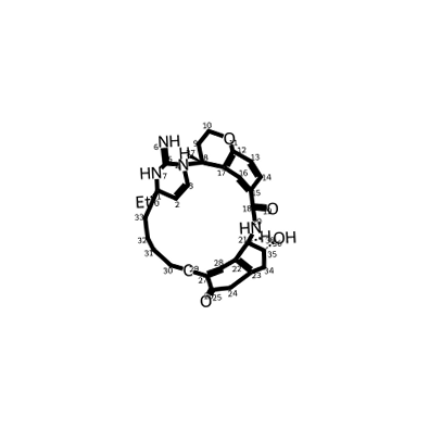 CC[C@@]12C=CN(C(=N)N1)[C@@H]1CCOc3ccc(cc31)C(=O)N[C@@H]1C3=C(CC(=O)C(=C3)CCCCC2)C[C@H]1O